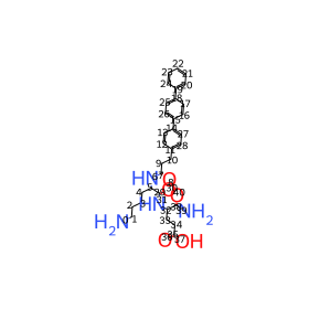 NCCCCC(NC(=O)CCc1ccc(-c2ccc(-c3ccccc3)cc2)cc1)C(=O)NC(CCC(=O)O)C(N)=O